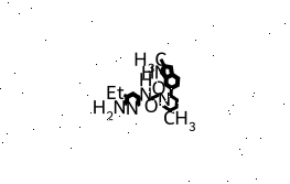 CCc1cc(NC(=O)C(=O)N2C[C@@H](C)CCC2c2ccc3cc(C)[nH]c3c2)cnc1N